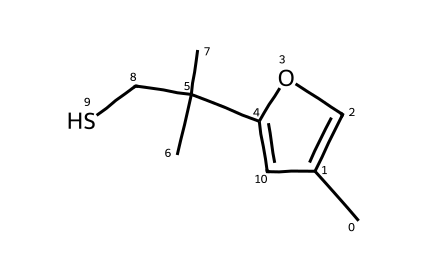 Cc1coc(C(C)(C)CS)c1